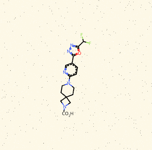 O=C(O)N1CC2(CCN(c3ccc(-c4nnc(C(F)F)o4)cn3)CC2)C1